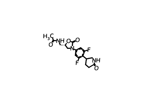 CC(=O)NC[C@H]1CN(c2cc(F)c(C3CCC(=O)NC3)c(F)c2)C(=O)O1